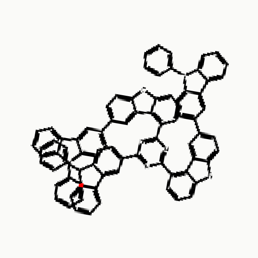 c1ccc(C2c3ccccc3-c3cc(-c4nc(-c5cccc6oc7ccc(-c8ccc9c(c8)c8ccccc8n9-c8ccccc8)cc7c56)nc(-c5cccc6oc7ccc(-c8ccc9c(c8)c8ccccc8n9-c8ccccc8)cc7c56)n4)ccc32)cc1